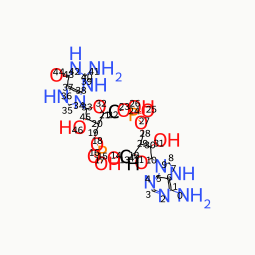 Nc1ncnc2c1NCN2[C@@H]1O[C@@H]2COP(=O)(O)OCC3C(COP(=O)(O)OCC2C1O)O[C@@H](N1CNC2=C1NC(N)NC2=O)C3O